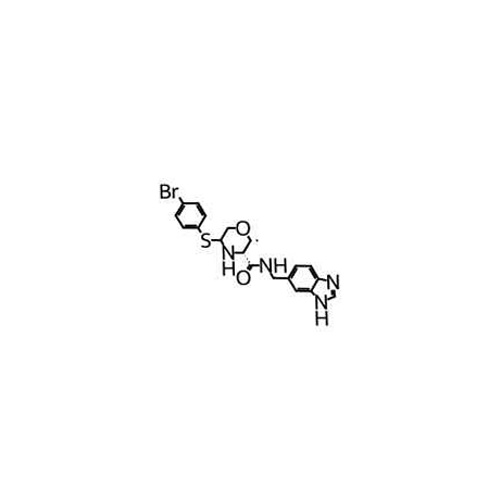 O=C(NCc1ccc2nc[nH]c2c1)[C@H]1[CH]OCC(Sc2ccc(Br)cc2)N1